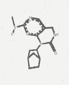 C[S+]([O-])c1ncc2c(n1)N(C1CC3CCC1C3)C(=O)NC2